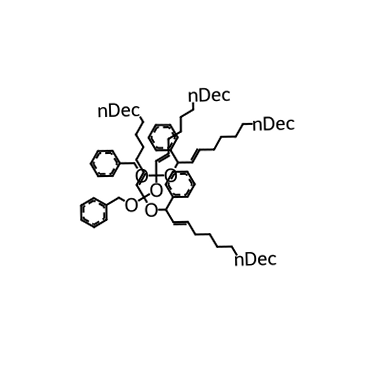 CCCCCCCCCCCCCCC=CC(OC(C=CCCCCCCCCCCCCCC)(OCc1ccccc1)OC(C=CCCCCCCCCCCCCCC)(OCc1ccccc1)OC(C=CCCCCCCCCCCCCCC)c1ccccc1)c1ccccc1